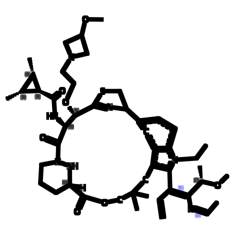 C=C/C(=C(\N=C/C)[C@H](C)OC)c1c2c3cc(ccc3n1CC)C1CSC(=N1)[C@@H](OCCN1CC(OC)C1)[C@H](NC(=O)[C@H]1[C@H](C)[C@@H]1C)C(=O)N1CCC[C@H](N1)C(=O)OCC(C)(C)C2